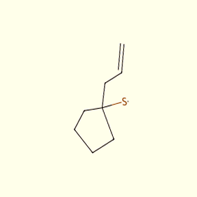 C=CCC1([S])CCCC1